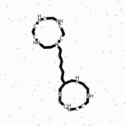 C(CCCN1CCCNCCNCCCNCC1)CCC1CNCCNCCCNCCNC1